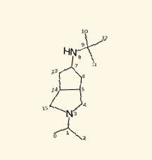 CC(C)N1CC2CC(NC(C)(C)C)CC2C1